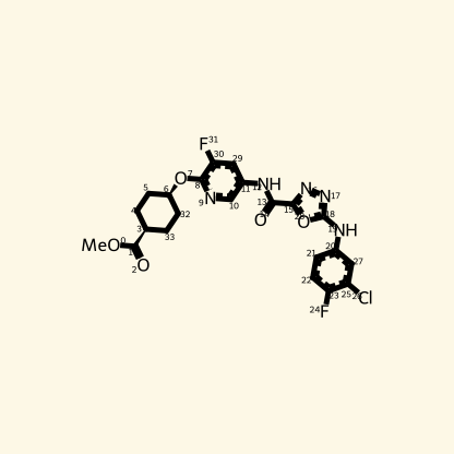 COC(=O)[C@H]1CC[C@@H](Oc2ncc(NC(=O)c3nnc(Nc4ccc(F)c(Cl)c4)o3)cc2F)CC1